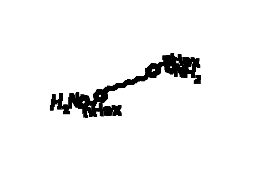 CCCCCCc1cc(N)ccc1Cc1ccc(CCCCCCCCc2ccc(Cc3ccc(N)cc3CCCCCC)cc2)cc1